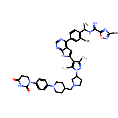 Cc1cc(-c2ncnc3[nH]c(-c4c(C)nn(C5CCN(CC6CCN(c7ccc(N8CCC(=O)NC8=O)cc7)CC6)C5)c4C)cc23)ccc1[C@@H](C)NC(=N)c1nc(C(C)(C)C)no1